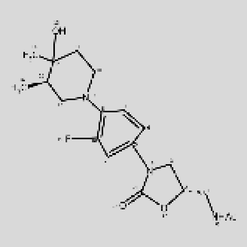 CC(=O)NC[C@H]1CN(c2ccc(N3CCC(O)(C(F)(F)F)[C@H](C)C3)c(F)c2)C(=O)O1